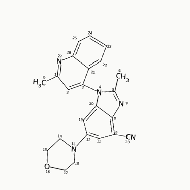 Cc1cc(-n2c(C)nc3c(C#N)cc(N4CCOCC4)cc32)c2ccccc2n1